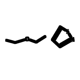 CCOCC.c1cnsc1